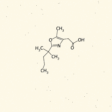 CCCC(C)(C)c1nc(CC(=O)O)c(C)o1